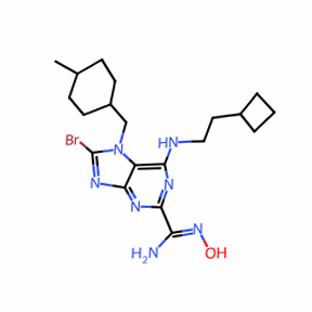 CC1CCC(Cn2c(Br)nc3nc(C(N)=NO)nc(NCCC4CCC4)c32)CC1